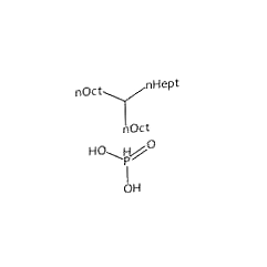 CCCCCCCCC(CCCCCCC)CCCCCCCC.O=[PH](O)O